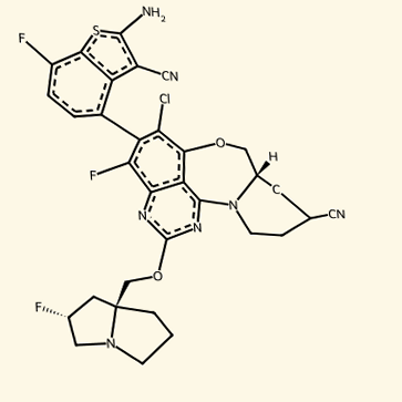 N#Cc1c(N)sc2c(F)ccc(-c3c(Cl)c4c5c(nc(OC[C@@]67CCCN6C[C@H](F)C7)nc5c3F)N3CCC(C#N)C[C@H]3CO4)c12